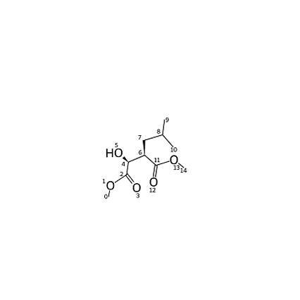 COC(=O)[C@@H](O)[C@@H](CC(C)C)C(=O)OC